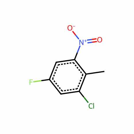 Cc1c(Cl)cc(F)cc1[N+](=O)[O-]